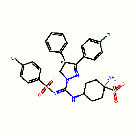 N[C@]1([SH](=O)=O)CC[C@@H](N/C(=N/S(=O)(=O)c2ccc(Cl)cc2)N2C[C@@H](c3ccccc3)C(c3ccc(Cl)cc3)=N2)CC1